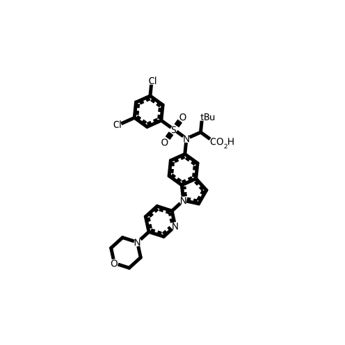 CC(C)(C)C(C(=O)O)N(c1ccc2c(ccn2-c2ccc(N3CCOCC3)cn2)c1)S(=O)(=O)c1cc(Cl)cc(Cl)c1